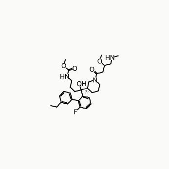 CCc1cccc(-c2c(F)cccc2C(O)(CCCNC(=O)OC)[C@@H]2CCCN(C(=O)CC(CNC)OC)C2)c1